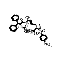 COC(=O)N[C@H](C(=O)N[C@H](/C=C/C[C@H](NS(=O)(=O)c1ccc([N+](=O)[O-])cc1)C(=O)OC)C(F)(F)F)C(c1ccccc1)c1ccccc1